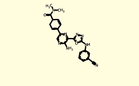 CN(C)C(=O)C1C=CC(c2cnc(N)c(-c3nnc(Nc4cccc(C#N)c4)o3)n2)=CC1